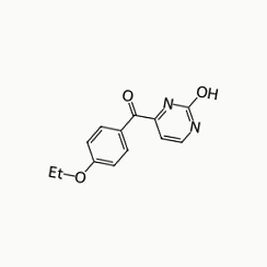 CCOc1ccc(C(=O)c2ccnc(O)n2)cc1